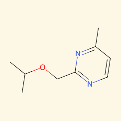 Cc1ccnc(COC(C)C)n1